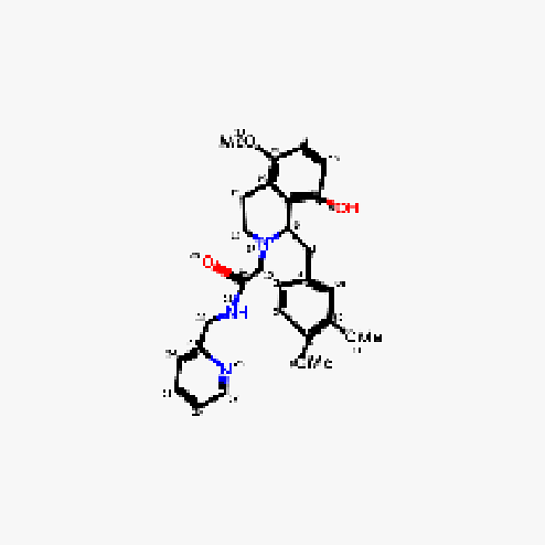 COc1ccc(CC2c3c(O)ccc(OC)c3CCN2CC(=O)NCc2ccccn2)cc1OC